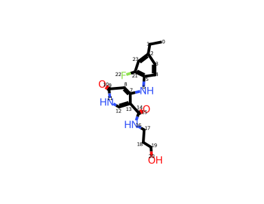 CCc1ccc(Nc2cc(=O)[nH]cc2C(=O)NCCCO)c(F)c1